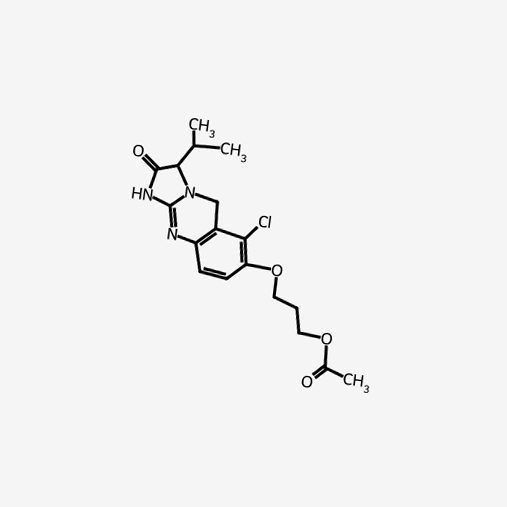 CC(=O)OCCCOc1ccc2c(c1Cl)CN1C(=N2)NC(=O)C1C(C)C